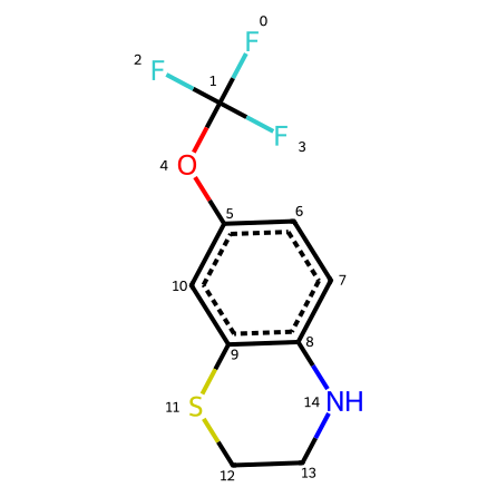 FC(F)(F)Oc1ccc2c(c1)SCCN2